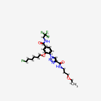 CCOCCCNC(=O)c1cn(-c2ccc(C(=O)NCC(F)(F)F)cc2OCCCCCCF)nn1